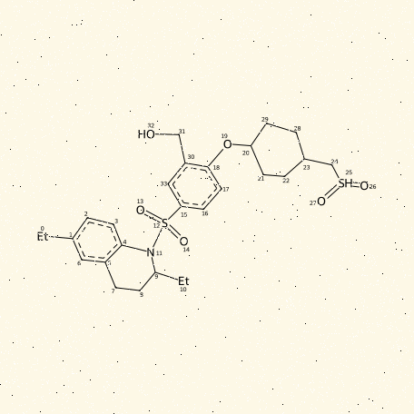 CCc1ccc2c(c1)CCC(CC)N2S(=O)(=O)c1ccc(OC2CCC(C[SH](=O)=O)CC2)c(CO)c1